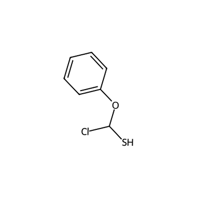 SC(Cl)Oc1ccccc1